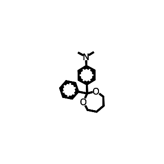 CN(C)c1ccc(C2(c3ccccc3)OCCCCO2)cc1